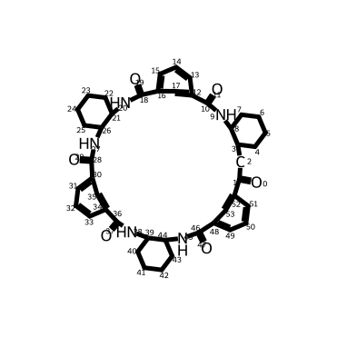 O=C1CC2CCCCC2NC(=O)c2cccc(c2)C(=O)NC2CCCCC2NC(=O)c2cccc(c2)C(=O)NC2CCCCC2NC(=O)c2cccc1c2